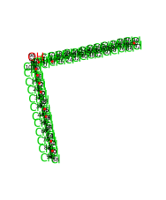 ClC(Cl)Cl.ClC(Cl)Cl.ClC(Cl)Cl.ClC(Cl)Cl.ClC(Cl)Cl.ClC(Cl)Cl.ClC(Cl)Cl.ClC(Cl)Cl.ClC(Cl)Cl.ClC(Cl)Cl.ClC(Cl)Cl.ClC(Cl)Cl.ClC(Cl)Cl.ClC(Cl)Cl.ClC(Cl)Cl.ClC(Cl)Cl.ClC(Cl)Cl.ClC(Cl)Cl.ClC(Cl)Cl.ClC(Cl)Cl.ClC(Cl)Cl.ClC(Cl)Cl.ClC(Cl)Cl.ClC(Cl)Cl.OCC(Cl)(Cl)Cl